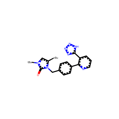 CCCCc1cn(C(C)(C)C)c(=O)n1Cc1ccc(-c2ncccc2-c2nnn[nH]2)cc1